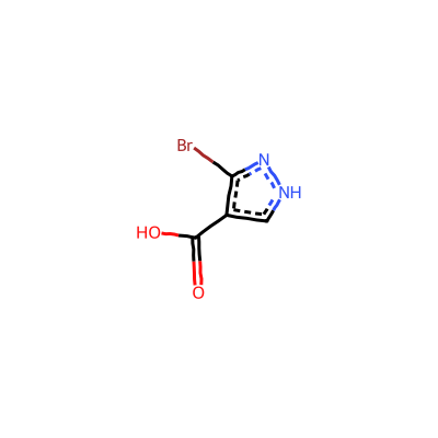 O=C(O)c1c[nH]nc1Br